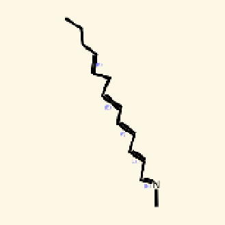 CCC/C=C/C/C=C/C=C/C=C/C=N/C